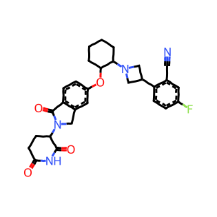 N#Cc1cc(F)ccc1C1CN(C2CCCCC2Oc2ccc3c(c2)CN(C2CCC(=O)NC2=O)C3=O)C1